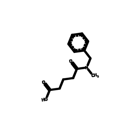 CN(Cc1ccccc1)C(=O)CCCC(=O)O